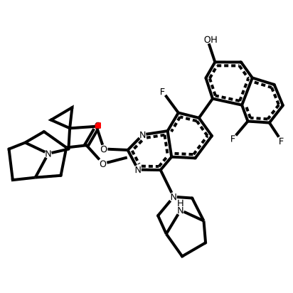 COC(=O)C1CC2CCC(C1)N2CC1(COc2nc(N3CC4CCC(C3)N4)c3ccc(-c4cc(O)cc5ccc(F)c(F)c45)c(F)c3n2)CC1